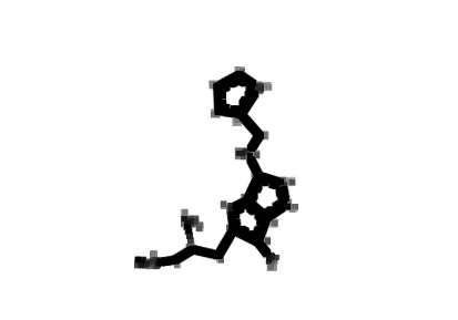 COC[C@H](N)Cc1sc2c(NCc3ccco3)snc2c1Br